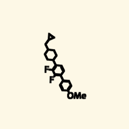 COc1ccc(-c2ccc(C3CCC(CC4CC4)CC3)c(F)c2F)cc1